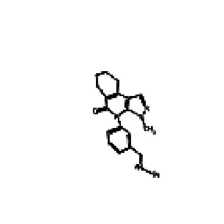 CC(C)NCc1cccc(-n2c(=O)c3c(c4cnn(C)c42)CCCC3)c1